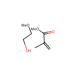 C=C(C)C(=O)OC.COCCO